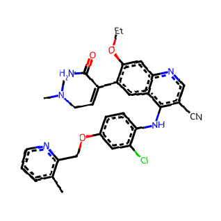 CCOc1cc2ncc(C#N)c(Nc3ccc(OCc4ncccc4C)cc3Cl)c2cc1C(=CCN(C)C)C(N)=O